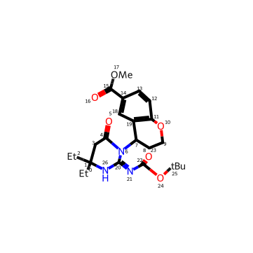 CCC1(CC)CC(=O)N(C2CCOc3ccc(C(=O)OC)cc32)/C(=N\C(=O)OC(C)(C)C)N1